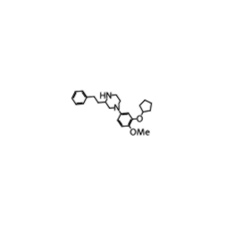 COc1ccc(N2CCNC(CCc3ccccc3)C2)cc1OC1CCCC1